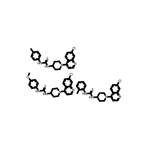 COc1ccc(NC(=S)NC2CCN(c3ccnc4cc(Cl)ccc34)CC2)cc1.Cc1ccc(NC(=S)NC2CCN(c3ccnc4cc(Cl)ccc34)CC2)cc1.Cc1ccccc1NC(=S)NC1CCN(c2ccnc3cc(Cl)ccc23)CC1